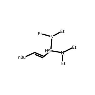 CCCCC=C[SiH](N(CC)CC)N(CC)CC